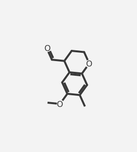 COc1cc2c(cc1C)OCCC2C=O